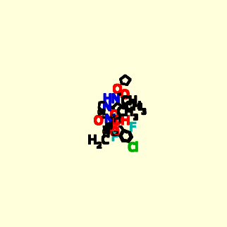 C=C[C@@H]1C[C@]1(NC(=O)[C@@H]1CCCN1C(=O)C(NC(=O)OC1CCCC1)C(C)(C)C)P(=O)(O)Cc1c(F)cc(Cl)cc1F